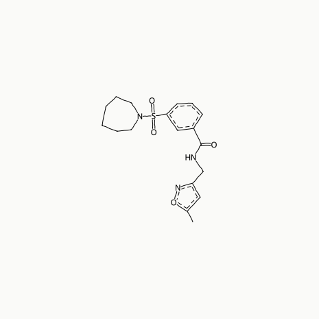 Cc1cc(CNC(=O)c2cccc(S(=O)(=O)N3CCCCCC3)c2)no1